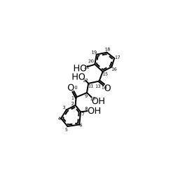 O=C(c1ccccc1O)C(O)C(O)C(=O)c1ccccc1O